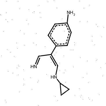 N=C/C(=C\NC1CC1)c1ccc(N)cc1